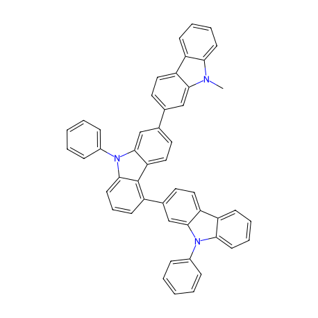 Cn1c2ccccc2c2ccc(-c3ccc4c5c(-c6ccc7c8ccccc8n(-c8ccccc8)c7c6)cccc5n(-c5ccccc5)c4c3)cc21